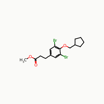 COC(=O)CCc1cc(Br)c(OCC2CCCC2)c(Br)c1